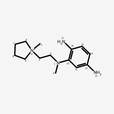 CN(CC[N+]1(C)CCCC1)c1cc(N)ccc1N